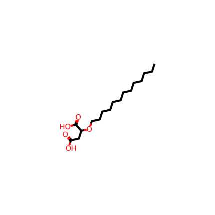 CCCCCCCCCCCCCOC(CC(=O)O)C(=O)O